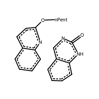 CCCCCOc1ccc2ccccc2n1.O=c1ncc2ccccc2[nH]1